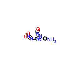 CS(=O)(=O)N1CCN(Cc2cc3c(N4CC5COCC4C5)nc(-c4ccc(N)cc4)nn3c2)CC1